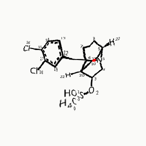 C.O=S(=O)(O)OC1CN2C3CC[C@H]2C[C@H](c2ccc(Cl)c(Cl)c2)[C@H]13